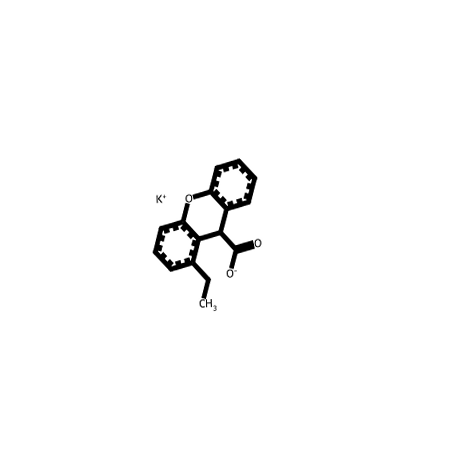 CCc1cccc2c1C(C(=O)[O-])c1ccccc1O2.[K+]